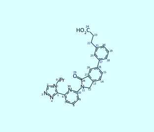 CC(C)n1cnnc1-c1cccc(N2Cc3ccc(-c4cccc(CCC(=O)O)c4)cc3C2=O)n1